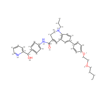 CCCCOCCOc1ccc(-c2ccc3c(c2)C=C(C(=O)Nc2ccc(C(O)c4ccccn4)cc2)CCN3CCC)cc1